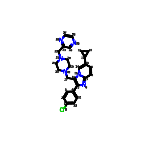 Clc1ccc(-c2nc3ccc(C4CC4)cn3c2CN2CCN(Cc3cnccn3)CC2)cc1